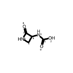 O=C(O)NC1CNC1=O